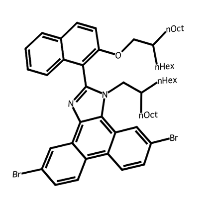 CCCCCCCCC(CCCCCC)COc1ccc2ccccc2c1-c1nc2c3cc(Br)ccc3c3ccc(Br)cc3c2n1CC(CCCCCC)CCCCCCCC